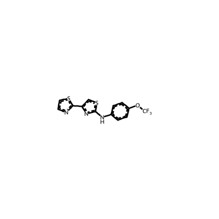 FC(F)(F)Oc1ccc(Nc2nc(-c3nccs3)cs2)cc1